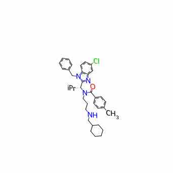 Cc1ccc(C(=O)N(CCCNCC2CCCCC2)[C@@H](c2nc3cc(Cl)ccc3n2Cc2ccccc2)C(C)C)cc1